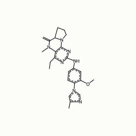 C=C1C2CCCN2c2nc(Nc3ccc(-n4cnc(C)c4)c(OC)c3)nc(CC)c2N1C